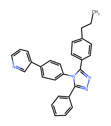 CCCc1ccc(-c2nnc(-c3ccccc3)n2-c2ccc(-c3cccnc3)cc2)cc1